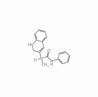 C[N+]([O-])(C(=O)Nc1ccccc1)C1=Cc2ccccc2NC1